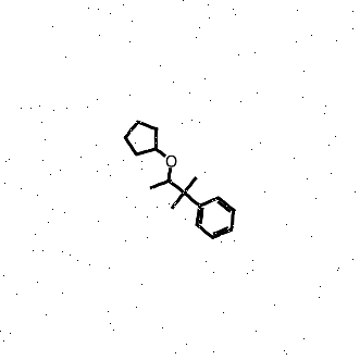 CC(OC1CCCC1)C(C)(C)c1ccccc1